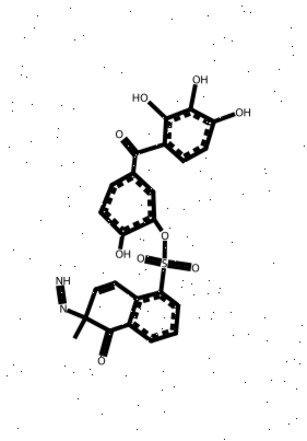 CC1(N=N)C=Cc2c(cccc2S(=O)(=O)Oc2cc(C(=O)c3ccc(O)c(O)c3O)ccc2O)C1=O